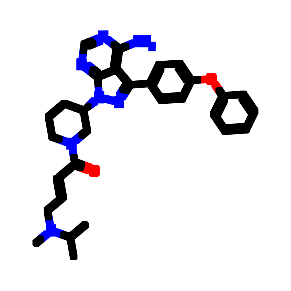 CC(C)N(C)CC=CC(=O)N1CCC[C@@H](n2nc(-c3ccc(Oc4ccccc4)cc3)c3c(N)ncnc32)C1